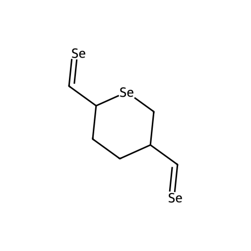 [Se]=CC1CCC(C=[Se])[Se]C1